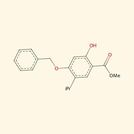 COC(=O)c1cc(C(C)C)c(OCc2ccccc2)cc1O